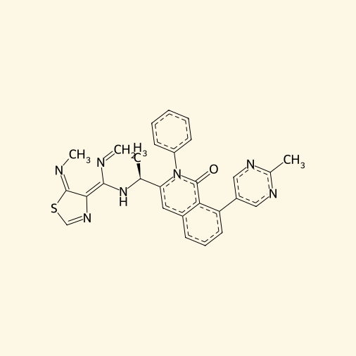 C=N/C(N[C@@H](C)c1cc2cccc(-c3cnc(C)nc3)c2c(=O)n1-c1ccccc1)=C1/N=CS/C1=N/C